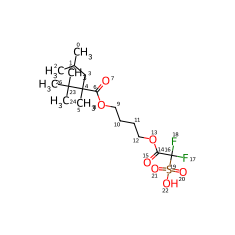 CC(C)CC(C)(C(=O)OCCCCOC(=O)C(F)(F)S(=O)(=O)O)C(C)(C)C